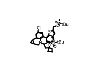 CC(C)(C)[Si](C)(C)OCc1cc2nccc(-c3cc(Cl)cc4c3N(C3CN(S(=O)(=O)C(C)(C)C)C5(CCC5)C3)CC3CC43)c2s1